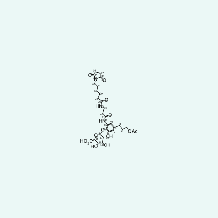 CC(=O)OCCCc1ccc(O[C@@H]2O[C@H](C(=O)O)[C@@H](O)[C@H](O)[C@H]2O)c(NC(=O)CCNC(=O)CCCCCN2C(=O)C=CC2=O)c1